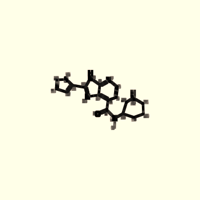 CN(C(=O)c1ccnc2[nH]c(-c3cccs3)nc12)C1CCCNC1